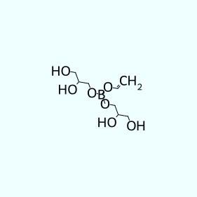 C=COB(OCC(O)CO)OCC(O)CO